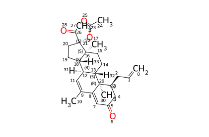 C=CC[C@H]1CC(=O)C=C2C(C)=C[C@@H]3[C@H](CC[C@@]4(C)[C@H]3CC[C@@]4(OC(C)=O)C(C)=O)[C@]21C